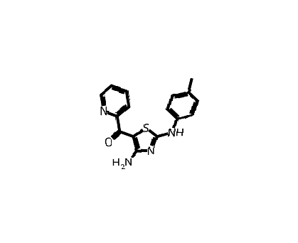 Cc1ccc(Nc2nc(N)c(C(=O)c3ccccn3)s2)cc1